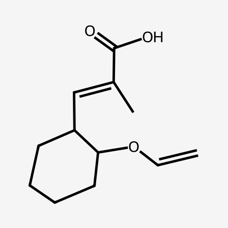 C=COC1CCCCC1C=C(C)C(=O)O